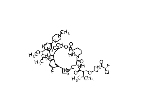 CCn1c(-c2cc(N3CCN(C)CC3)cnc2[C@H](C)OC)c2c3cc(c(F)cc31)-c1csc(n1)C[C@H](NC(=O)[C@H](COC1CN(C(=O)[C@H](F)Cl)C1)C(C)C)C(=O)N1CCC[C@H](N1)C(=O)OCC(C)(C)C2